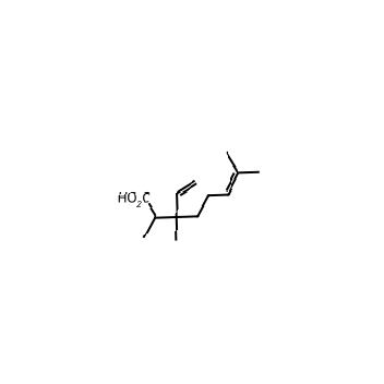 C=CC(C)(CCC=C(C)C)C(C)C(=O)O